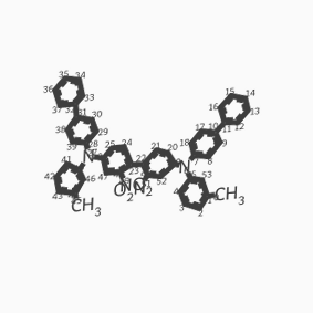 Cc1cccc(N(c2ccc(-c3ccccc3)cc2)c2ccc(-c3ccc(N(c4ccc(-c5ccccc5)cc4)c4cccc(C)c4)cc3[N+](=O)[O-])c([N+](=O)[O-])c2)c1